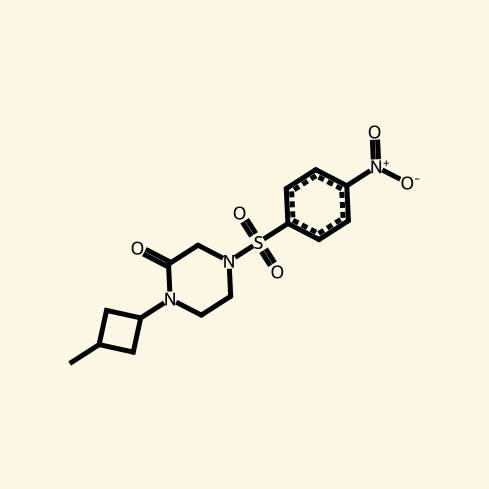 CC1CC(N2CCN(S(=O)(=O)c3ccc([N+](=O)[O-])cc3)CC2=O)C1